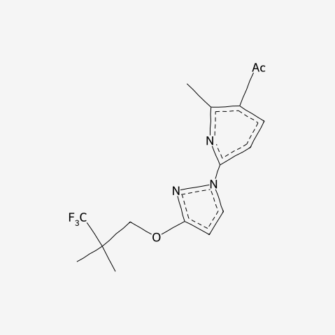 CC(=O)c1ccc(-n2ccc(OCC(C)(C)C(F)(F)F)n2)nc1C